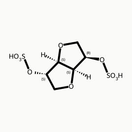 O=S(=O)(O)O[C@H]1CO[C@H]2[C@@H]1OC[C@H]2OS(=O)(=O)O